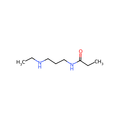 CCNCCCNC(=O)CC